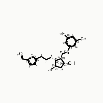 O=Cc1ccc(CCC[C@@H]2[C@@H](CSc3cc(F)cc(F)c3)[C@H](O)C[C@H]2I)s1